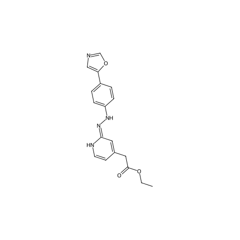 CCOC(=O)Cc1cc[nH]c(=NNc2ccc(-c3cnco3)cc2)c1